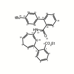 CCOC(=O)c1ccccc1C1=CCC=CC(NC(=O)c2ccccc2-c2ccc(C(C)(C)C)cc2)=N1